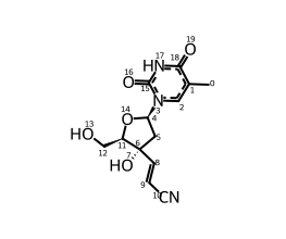 Cc1cn([C@H]2C[C@@](O)(C=CC#N)[C@@H](CO)O2)c(=O)[nH]c1=O